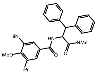 CNC(=O)C(NC(=O)c1cc(C(C)C)c(OC)c(C(C)C)c1)C(c1ccccc1)c1ccccc1